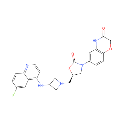 O=C1COc2ccc(N3C[C@@H](CN4CC(Nc5ccnc6ccc(F)cc56)C4)OC3=O)cc2N1